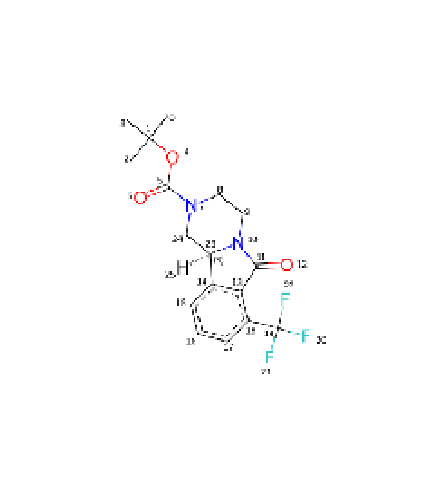 CC(C)(C)OC(=O)N1CCN2C(=O)c3c(cccc3C(F)(F)F)[C@H]2C1